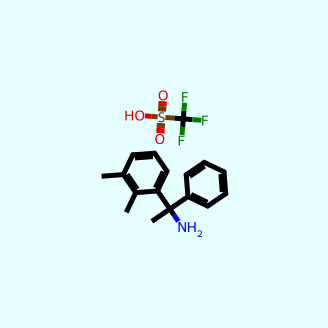 Cc1cccc(C(C)(N)c2ccccc2)c1C.O=S(=O)(O)C(F)(F)F